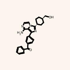 Nc1nccn2c1c(-c1ccc(C(=O)c3ccccc3)cc1)nc2[C@H]1CC[C@H](CO)CC1